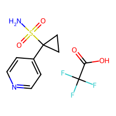 NS(=O)(=O)C1(c2ccncc2)CC1.O=C(O)C(F)(F)F